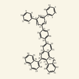 c1ccc(-c2nc(-c3ccccc3)nc(-c3ccc(-c4ccc5c(c4)nc(-c4cccc6ccccc46)c4c6ccccc6sc54)cc3)n2)cc1